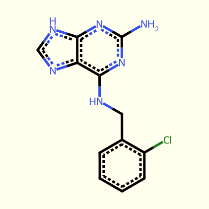 Nc1nc(NCc2ccccc2Cl)c2nc[nH]c2n1